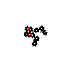 c1ccc(-c2cccc3cccc(-c4ccccc4N(c4ccc(-c5cccc6c5oc5ccccc56)cc4)c4cccc(-c5cccc6c5sc5ccccc56)c4)c23)cc1